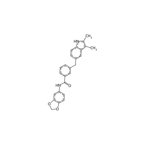 Cc1[nH]c2ccc(Cc3cccc(C(=O)Nc4ccc5c(c4)OCO5)c3)cc2c1C